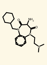 CN(C)CCN1C(=O)C(N)C(=O)N(CC2CCCCC2)c2ccccc21